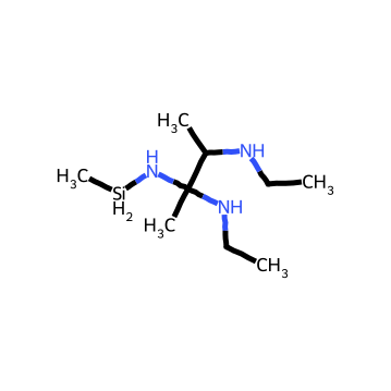 CCNC(C)C(C)(NCC)N[SiH2]C